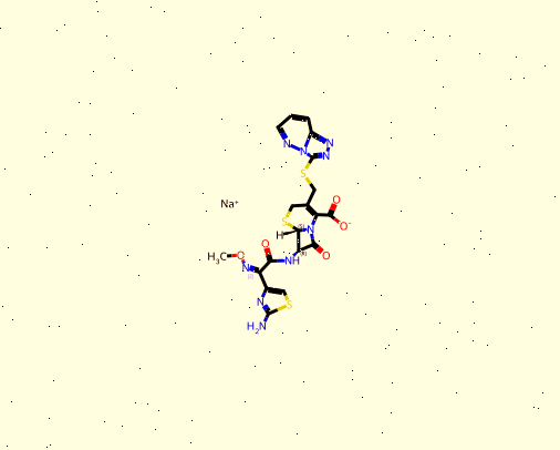 CO/N=C(\C(=O)N[C@@H]1C(=O)N2C(C(=O)[O-])=C(CSc3nnc4cccnn34)CS[C@@H]12)c1csc(N)n1.[Na+]